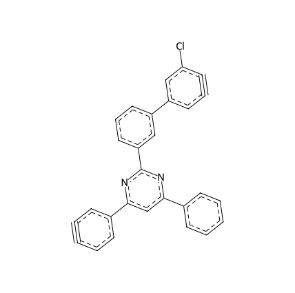 Clc1c#ccc(-c2cccc(-c3nc(-c4cc#ccc4)cc(-c4ccccc4)n3)c2)c1